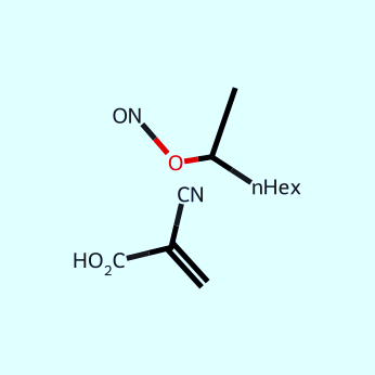 C=C(C#N)C(=O)O.CCCCCCC(C)ON=O